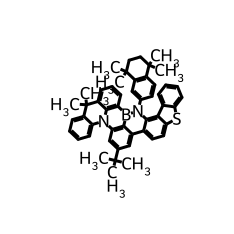 CC(C)(C)c1cc2c3c(c1)N1c4ccccc4C(C)(C)c4cccc(c41)B3N(c1ccc3c(c1)C(C)(C)CCC3(C)C)c1c-2ccc2sc3ccccc3c12